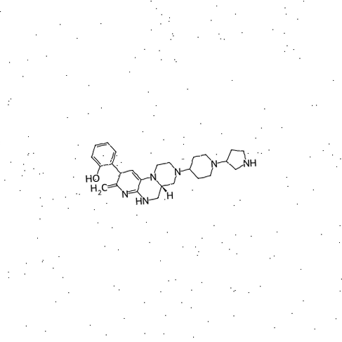 C=C1N=C2NC[C@H]3CN(C4CCN(C5CCNC5)CC4)CCN3C2=CC1c1ccccc1O